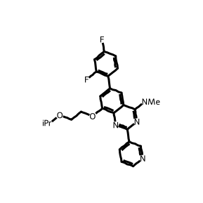 CNc1nc(-c2cccnc2)nc2c(OCCOC(C)C)cc(-c3ccc(F)cc3F)cc12